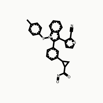 Cc1ccc(Sn2c(-c3cccc(C4CC4C(=O)N=O)c3)c(-c3ccsc3C#N)c3ccccc32)cc1